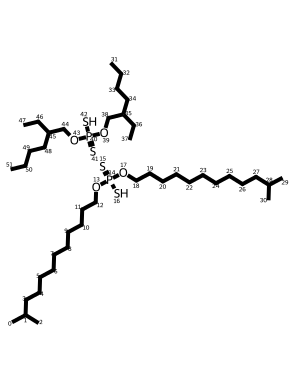 CC(C)CCCCCCCCCCOP(=S)(S)OCCCCCCCCCCC(C)C.CCCCC(CC)COP(=S)(S)OCC(CC)CCCC